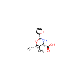 C[C@H]1[C@H](C)O[C@H](c2ccco2)N[C@@H]1C(=O)O